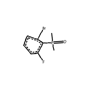 CP(C)(=O)c1c(F)cccc1Br